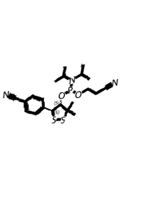 CC(C)N(C(C)C)P(OCCC#N)O[C@H]1[C@H](c2ccc(C#N)cc2)SSC1(C)C